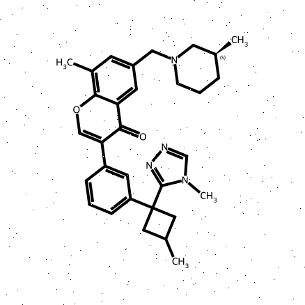 Cc1cc(CN2CCC[C@H](C)C2)cc2c(=O)c(-c3cccc(C4(c5nncn5C)CC(C)C4)c3)coc12